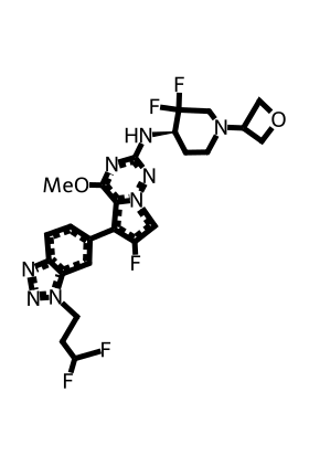 COc1nc(N[C@@H]2CCN(C3COC3)CC2(F)F)nn2cc(F)c(-c3ccc4nnn(CCC(F)F)c4c3)c12